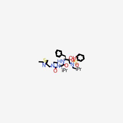 Cc1nc(CN2CCN([C@H](C(=O)N[C@@H](Cc3ccccc3)[C@H](O)CN(CC(C)C)S(=O)(=O)c3ccccc3)C(C)C)C2=O)cs1